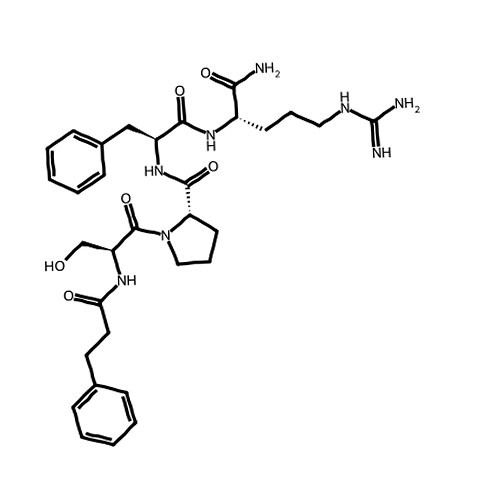 N=C(N)NCCC[C@H](NC(=O)[C@H](Cc1ccccc1)NC(=O)[C@@H]1CCCN1C(=O)[C@H](CO)NC(=O)CCc1ccccc1)C(N)=O